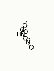 Cc1ccc(OC(=O)Nc2ccc3c(c2)CCN3Cc2ccccc2)cc1